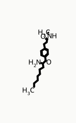 CCCCCCCCC(N)C(=O)c1ccc(CCC(=O)NC)cc1